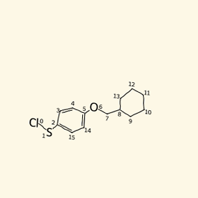 ClSc1ccc(OCC2CCCCC2)cc1